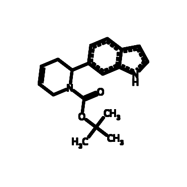 CC(C)(C)OC(=O)N1CC=CCC1c1ccc2cc[nH]c2c1